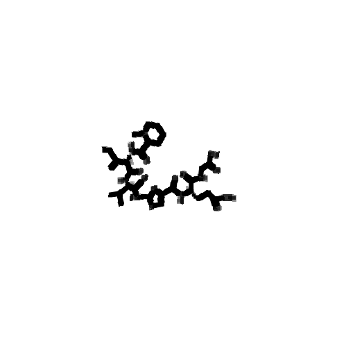 CCC(C)[C@H](NC(=O)C1CCCCN1C)C(=O)N[C@H](C(=O)Nc1nc(C(=O)N[C@@H](CCC(=O)O)C(=O)NCC(=O)O)cs1)C(C)C